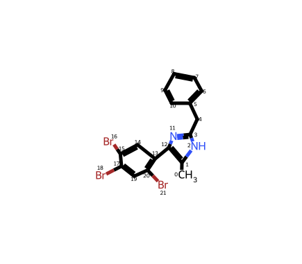 Cc1[nH]c(Cc2ccccc2)nc1-c1cc(Br)c(Br)cc1Br